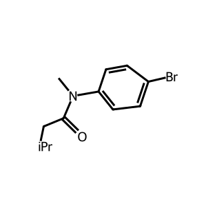 CC(C)CC(=O)N(C)c1ccc(Br)cc1